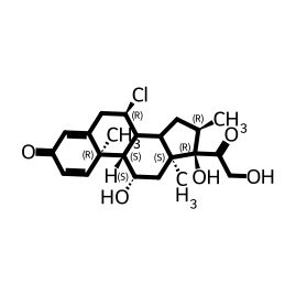 C[C@@H]1CC2C3[C@H](Cl)CC4=CC(=O)C=C[C@]4(C)[C@H]3[C@@H](O)C[C@]2(C)[C@@]1(O)C(=O)CO